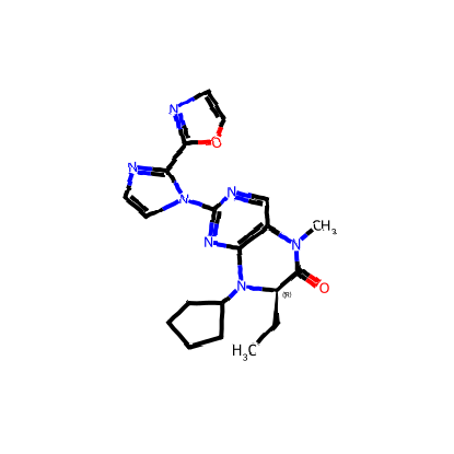 CC[C@@H]1C(=O)N(C)c2cnc(-n3ccnc3-c3ncco3)nc2N1C1CCCC1